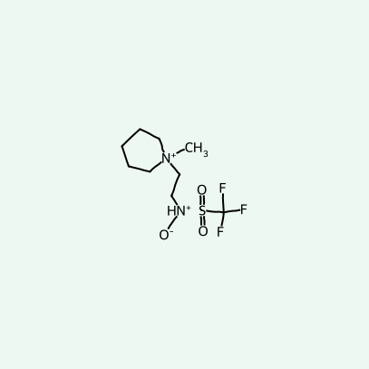 C[N+]1(CC[NH+]([O-])S(=O)(=O)C(F)(F)F)CCCCC1